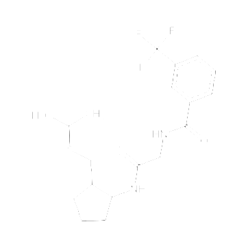 CC(C)SCC1CCCC1NC(=O)CNC(=O)c1cccc(C(F)(F)F)c1